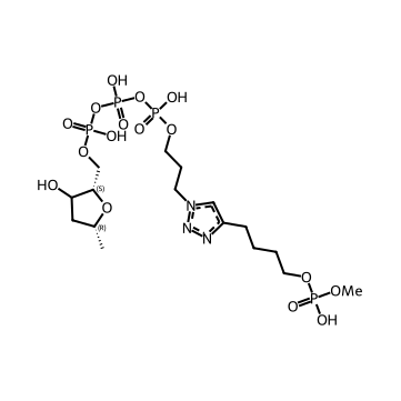 COP(=O)(O)OCCCCc1cn(CCCOP(=O)(O)OP(=O)(O)OP(=O)(O)OC[C@@H]2O[C@H](C)CC2O)nn1